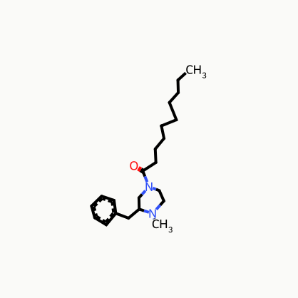 CCCCCCCCCC(=O)N1CCN(C)C(Cc2ccccc2)C1